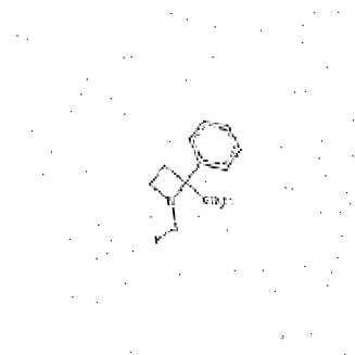 CCOC(=O)C1(c2ccccc2)CCN1SI